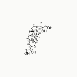 CC(C(O)CO)[C@H]1CC[C@H]2C3=CC=C4CC(C(O)CO)CC[C@@]4(C)[C@H]3CC[C@]12C